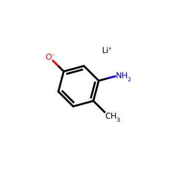 Cc1ccc([O-])cc1N.[Li+]